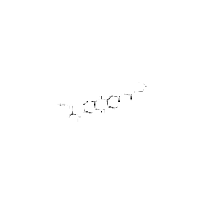 CC(C)(C)OC(=O)Nc1ccc(Oc2ccnc(NC(=O)C3CCCC3)c2)c(Cl)c1